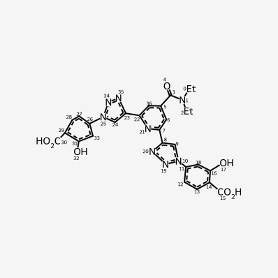 CCN(CC)C(=O)c1cc(-c2cn(-c3ccc(C(=O)O)c(O)c3)nn2)nc(-c2cn(-c3ccc(C(=O)O)c(O)c3)nn2)c1